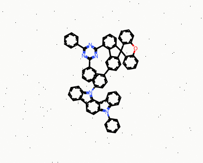 c1ccc(-c2nc(-c3ccccc3)nc(-c3cccc4c3-c3cc(-c5ccc(-n6c7ccccc7c7ccc8c(c9ccccc9n8-c8ccccc8)c76)cc5)ccc3C43c4ccccc4Oc4ccccc43)n2)cc1